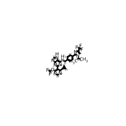 CC(C)n1cc(C(F)(F)F)nc1-c1ccc(CNc2nc(-c3c(OC(F)F)ncnc3C3CC3)nc3nc[nH]c23)cc1